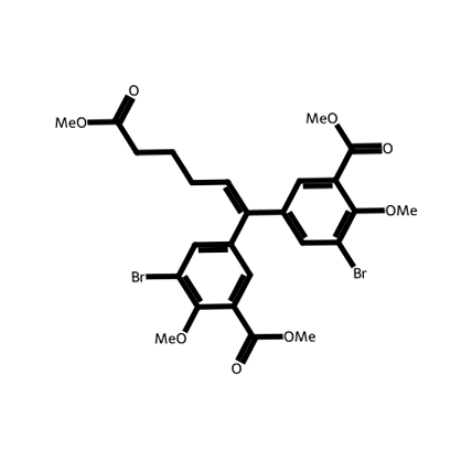 COC(=O)CCCC=C(c1cc(Br)c(OC)c(C(=O)OC)c1)c1cc(Br)c(OC)c(C(=O)OC)c1